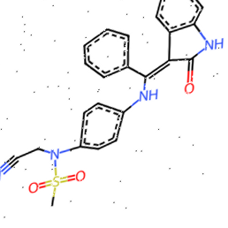 CS(=O)(=O)N(CC#N)c1ccc(N/C(=C2\C(=O)Nc3ccccc32)c2ccccc2)cc1